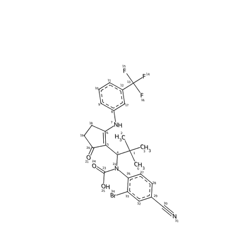 CC(C)(C)C(C1=C(Nc2cccc(C(F)(F)F)c2)CCC1=O)N(C(=O)O)c1ccc(C#N)cc1Br